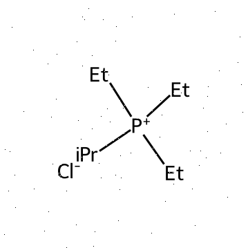 CC[P+](CC)(CC)C(C)C.[Cl-]